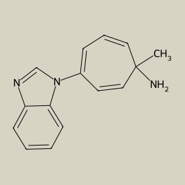 CC1(N)C=CC=C(n2cnc3ccccc32)C=C1